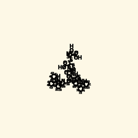 O=C(O)C1=C(CSc2snc(O)c2C(=O)O)CS[C@H]2C(NC(=O)/C(=N\OCc3csc(NC(c4ccccc4)(c4ccccc4)c4ccccc4)n3)c3csc(NC(c4ccccc4)(c4ccccc4)c4ccccc4)n3)C(=O)N12